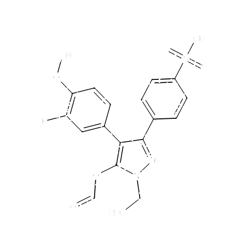 CCn1nc(-c2ccc(S(C)(=O)=O)cc2)c(-c2ccc(OC)c(F)c2)c1OC=O